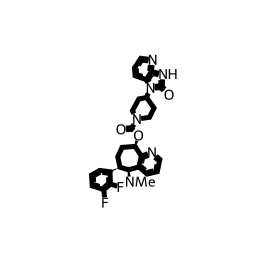 CN[C@@H]1c2cccnc2[C@H](OC(=O)N2CCC(n3c(=O)[nH]c4ncccc43)CC2)CC[C@H]1c1cccc(F)c1F